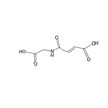 O=C(O)C=CC(=O)NCC(=O)O